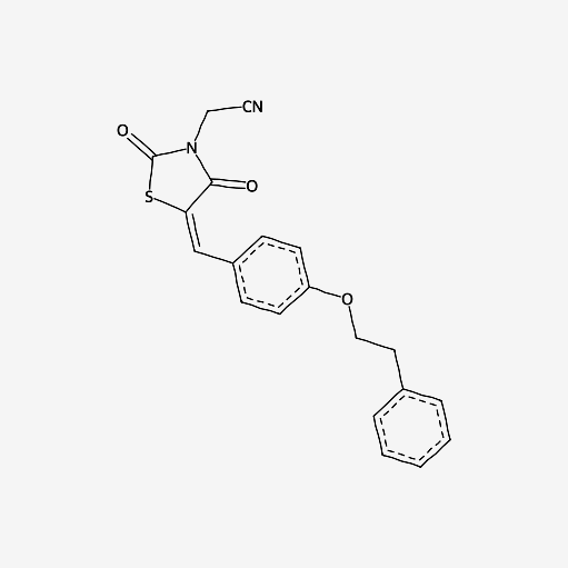 N#CCN1C(=O)SC(=Cc2ccc(OCCc3ccccc3)cc2)C1=O